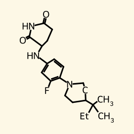 CCC(C)(C)C1CCN(c2ccc(NC3CCC(=O)NC3=O)cc2F)CC1